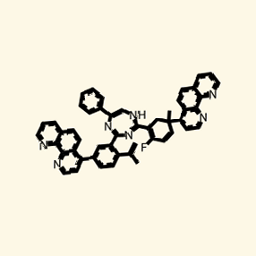 C=C(C)c1ccc(-c2ccnc3c2ccc2cccnc23)cc1C1=NC(c2ccccc2)=CNC(C2=C(F)C=CC(C)(c3ccnc4c3ccc3cccnc34)C2)=N1